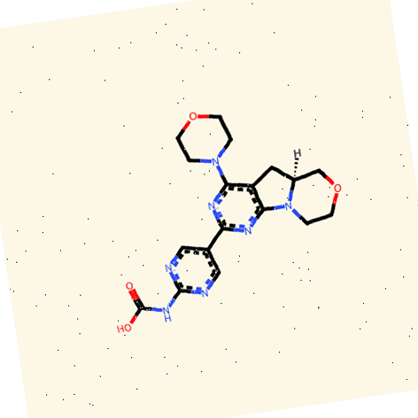 O=C(O)Nc1ncc(-c2nc(N3CCOCC3)c3c(n2)N2CCOC[C@@H]2C3)cn1